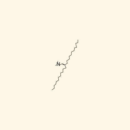 CCCCCCCCCCCCC(=CCN(C)C)CCCCCCCCCCCC